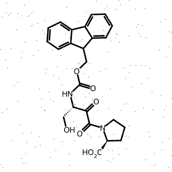 O=C(N[C@@H](CO)C(=O)C(=O)N1CCC[C@H]1C(=O)O)OCC1c2ccccc2-c2ccccc21